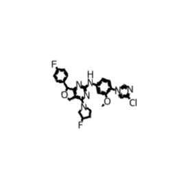 COc1cc(Nc2nc3c(c(N4CCC(F)C4)n2)COC3c2ccc(F)cc2)ccc1-n1cnc(Cl)c1